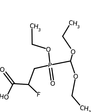 CCOC(OCC)P(=O)(CC(F)C(=O)O)OCC